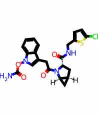 NC(=O)On1cc(CC(=O)N2[C@@H]3C[C@@H]3C[C@H]2C(=O)NCc2ccc(Cl)s2)c2ccccc21